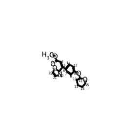 COC(=O)/C=C(/c1ccc(OC2CCCCO2)cc1)c1ncco1